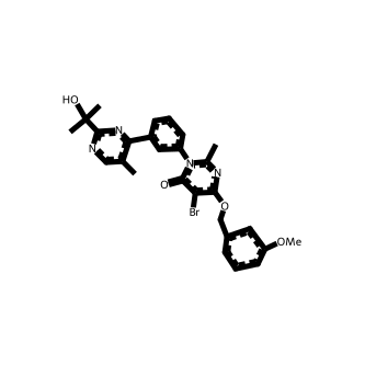 COc1cccc(COc2nc(C)n(-c3cccc(-c4nc(C(C)(C)O)ncc4C)c3)c(=O)c2Br)c1